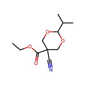 CCOC(=O)C1(C#N)COC(C(C)C)OC1